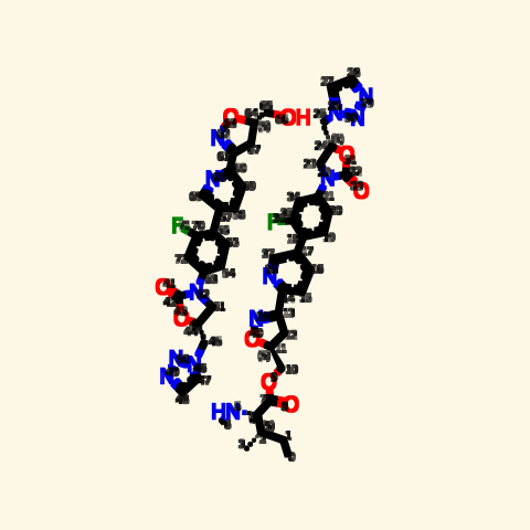 CC[C@H](C)[C@H](NC)C(=O)OC[C@@H]1CC(c2ccc(-c3ccc(N4C[C@H](Cn5ccnn5)OC4=O)cc3F)cn2)=NO1.O=C1O[C@@H](Cn2ccnn2)CN1c1ccc(-c2ccc(C3=NO[C@H](CO)C3)nc2)c(F)c1